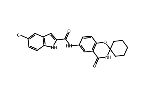 O=C(Nc1ccc2c(c1)C(=O)NC1(CCCCC1)O2)c1cc2cc(Cl)ccc2[nH]1